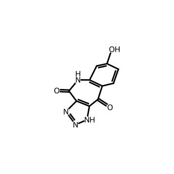 O=c1[nH]c2cc(O)ccc2c(=O)c2[nH]nnc12